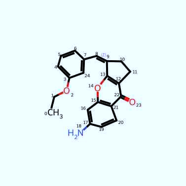 CCOc1cccc(/C=C2/CCc3c2oc2cc(N)ccc2c3=O)c1